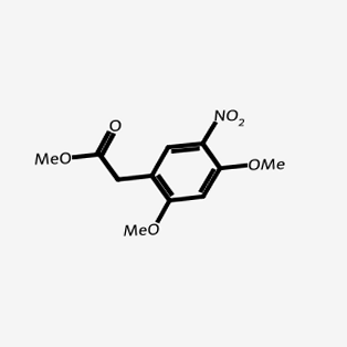 COC(=O)Cc1cc([N+](=O)[O-])c(OC)cc1OC